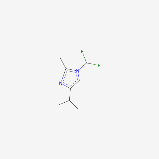 Cc1nc(C(C)C)cn1C(F)F